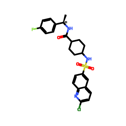 C[C@@H](NC(=O)C1CCC(NS(=O)(=O)c2ccc3nc(Cl)ccc3c2)CC1)c1ccc(F)cc1